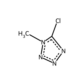 Cn1nnnc1Cl